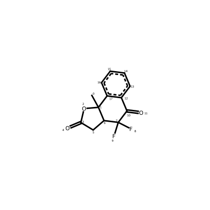 CC12OC(=O)CC1C(F)(F)C(=O)c1ccccc12